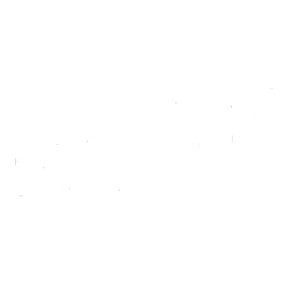 FC(F)(F)OC1OCC2(CO1)COC(OC(F)(F)F)OC2